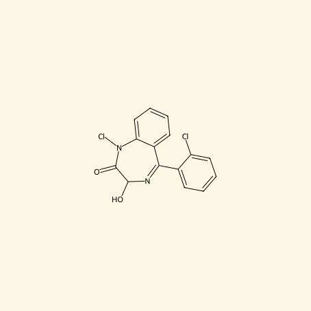 O=C1C(O)N=C(c2ccccc2Cl)c2ccccc2N1Cl